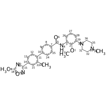 COc1c(NC(=O)c2ccc(-c3ccc(-c4noc(C)n4)cc3C)cc2)cccc1N1CCN(C)CC1